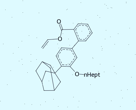 C=COC(=O)c1ccccc1-c1ccc(C23CC4CC(CC(C4)C2)C3)c(OCCCCCCC)c1